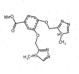 COC(=O)c1ccc(OCC2=NN=C[SH]2C)c(OCC2=NN=C[SH]2C)c1